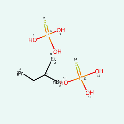 CCCCC(CC)CC(C)C.OP(O)(O)=S.OP(O)(O)=S